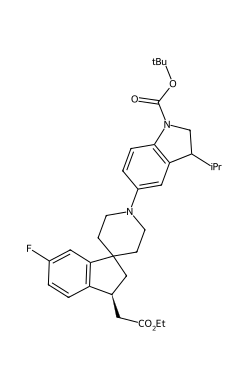 CCOC(=O)C[C@@H]1CC2(CCN(c3ccc4c(c3)C(C(C)C)CN4C(=O)OC(C)(C)C)CC2)c2cc(F)ccc21